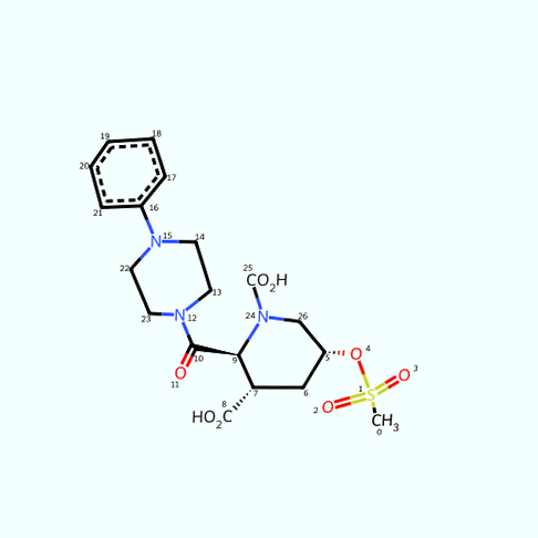 CS(=O)(=O)O[C@@H]1C[C@H](C(=O)O)[C@@H](C(=O)N2CCN(c3ccccc3)CC2)N(C(=O)O)C1